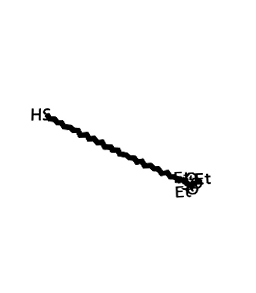 CCO[Si](CCCCCCCCCCCCCCCCCCCCCCCCCCCCCCCCCCCS)(OCC)OCC